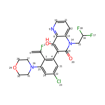 C=C(F)c1c(-c2c(O)c3ncccc3n(CC(F)F)c2=O)cc(Cl)cc1N1CCOCC1